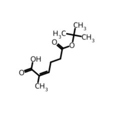 CC(=CCCC(=O)OC(C)(C)C)C(=O)O